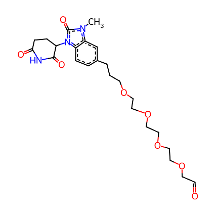 Cn1c(=O)n(C2CCC(=O)NC2=O)c2ccc(CCCOCCOCCOCCOCC=O)cc21